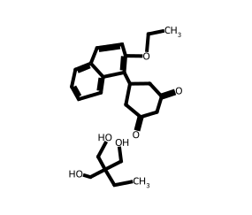 CCC(CO)(CO)CO.CCOc1ccc2ccccc2c1C1CC(=O)CC(=O)C1